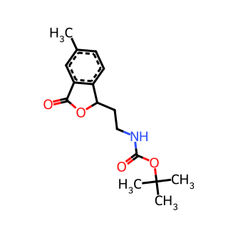 Cc1ccc2c(c1)C(=O)OC2CCNC(=O)OC(C)(C)C